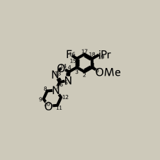 COc1cc(-c2nc(N3CCOCC3)no2)c(F)cc1C(C)C